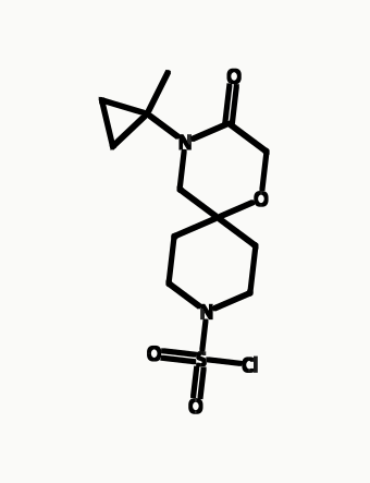 CC1(N2CC3(CCN(S(=O)(=O)Cl)CC3)OCC2=O)CC1